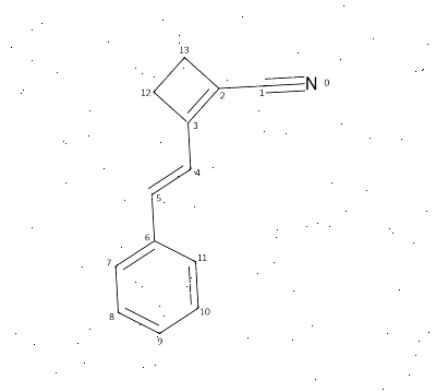 N#CC1=C(C=Cc2ccccc2)CC1